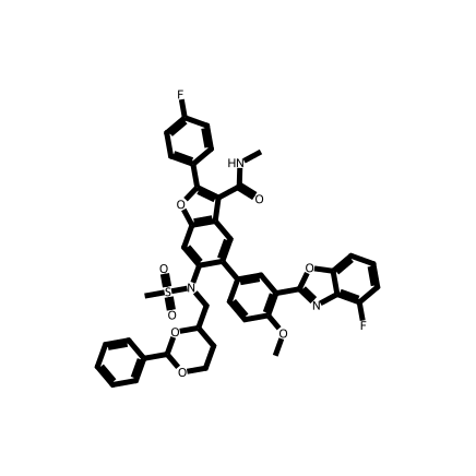 CNC(=O)c1c(-c2ccc(F)cc2)oc2cc(N(CC3CCOC(c4ccccc4)O3)S(C)(=O)=O)c(-c3ccc(OC)c(-c4nc5c(F)cccc5o4)c3)cc12